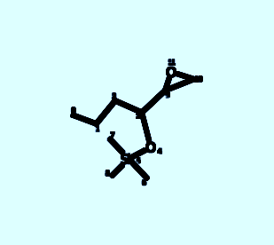 CCCC(O[Si](C)(C)C)C1CO1